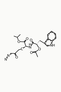 CC(=O)O[C@@H](Cc1c[nH]c2ccccc12)C(=O)N[C@@H](CCC(=O)C=[N+]=[N-])C(=O)OC(C)C